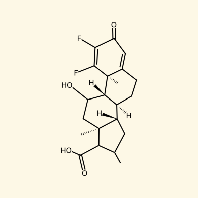 CC1C[C@H]2[C@@H]3CCC4=CC(=O)C(F)=C(F)[C@]4(C)[C@H]3C(O)C[C@]2(C)C1C(=O)O